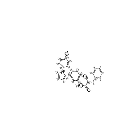 O=C(O)[C@@H](Cc1ccccc1)Oc1ccc(-c2cccn2-c2ccc(Cl)cc2)cc1